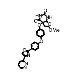 COCCC1(Oc2ccc(Oc3ccc(-c4nc(-c5cccnn5)co4)cc3)cc2)C(=O)NC(=O)NC1=O